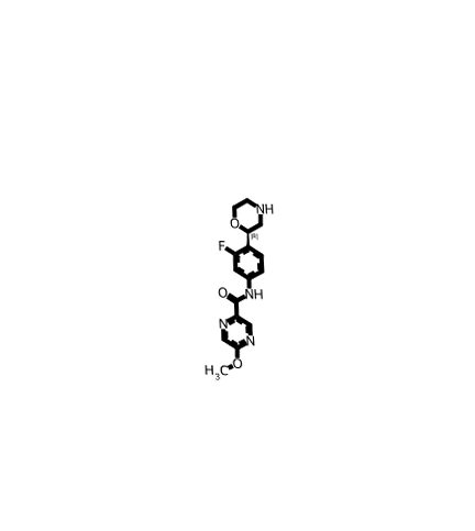 COc1cnc(C(=O)Nc2ccc([C@@H]3CNCCO3)c(F)c2)cn1